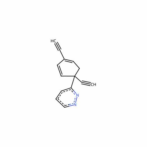 C#CC1=CCC(C#C)(c2cccnn2)C=C1